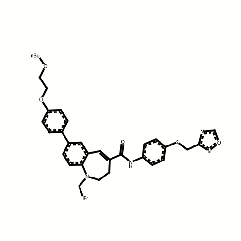 CCCCOCCOc1ccc(-c2ccc3c(c2)C=C(C(=O)Nc2ccc(SCc4ncon4)cc2)CCN3CC(C)C)cc1